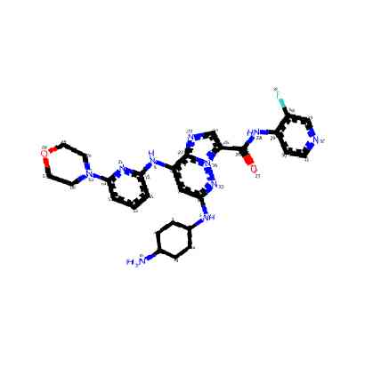 NC1CCC(Nc2cc(Nc3cccc(N4CCOCC4)n3)c3ncc(C(=O)Nc4ccncc4F)n3n2)CC1